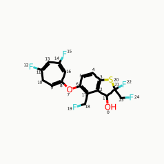 OC1c2c(ccc(OC3=CCC(F)=CC(F)=C3)c2CF)SC1(F)CF